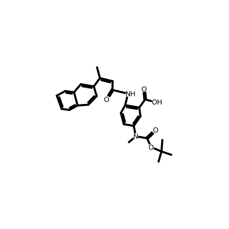 C/C(=C/C(=O)Nc1ccc(N(C)C(=O)OC(C)(C)C)cc1C(=O)O)c1ccc2ccccc2c1